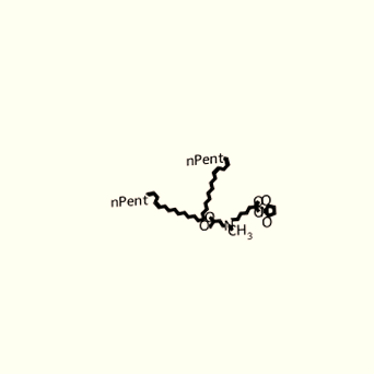 CCCCC/C=C\C/C=C\CCCCCCCCC1(CCCCCCCC/C=C\C/C=C\CCCCC)OCC(CCN(C)CCCCCC(=O)ON2C(=O)CCC2=O)O1